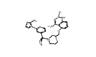 CC(C)c1nccn1-c1cc(C(=O)N2CCCC(COc3cccc4c3C(N)=N[S+]([O-])N4)C2)ccn1